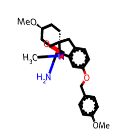 COc1ccc(COc2ccc3c(c2)C2(N=C(N)N(C)C2=O)[C@]2(CC[C@H](OC)CC2)C3)cc1